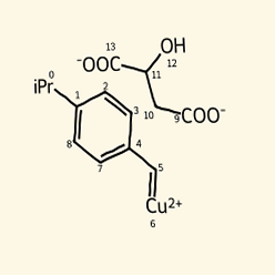 CC(C)c1ccc([CH]=[Cu+2])cc1.O=C([O-])CC(O)C(=O)[O-]